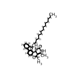 CCCCCCCCCCCCCCCCn1c2ccccc2c2cccc(C3NC(=O)NC(C)=C3C(C)=O)c21